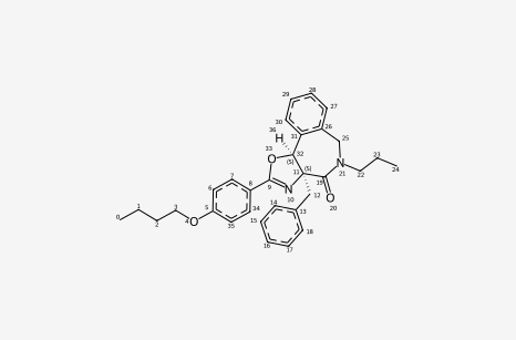 CCCCOc1ccc(C2=N[C@]3(Cc4ccccc4)C(=O)N(CCC)Cc4ccccc4[C@@H]3O2)cc1